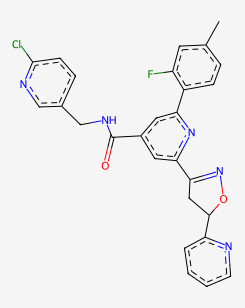 Cc1ccc(-c2cc(C(=O)NCc3ccc(Cl)nc3)cc(C3=NOC(c4ccccn4)C3)n2)c(F)c1